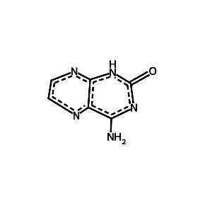 Nc1nc(=O)[nH]c2nccnc12